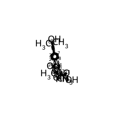 CC(C)(O)C#Cc1ccc(N2C[C@H](C[C@](C)(C(=O)NO)S(C)(=O)=O)OC2=O)cc1